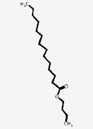 CCCCCCCCCCCCCC(=O)OCCCC